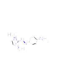 Cn1cc[n+](C)c1/N=N/C1C=CC(N)=CC1